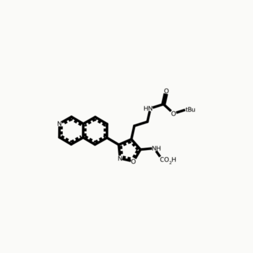 CC(C)(C)OC(=O)NCCc1c(-c2ccc3cnccc3c2)noc1NC(=O)O